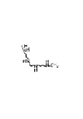 CCNCCCCNC/C=C\CNCCCCNCC